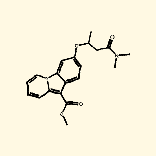 COC(=O)c1c2ccc(OC(C)CC(=O)N(C)C)cc2n2ccccc12